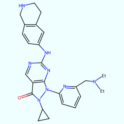 CCN(CC)Cc1cccc(-n2c3nc(Nc4ccc5c(c4)CCNC5)ncc3c(=O)n2C2CC2)n1